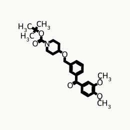 COc1ccc(C(=O)c2cccc(COC3CCN(C(=O)OC(C)(C)C)CC3)c2)cc1OC